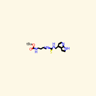 CC(C)(C)OC(=O)NCCCCNC(=S)NCc1ccnc2[nH]ccc12